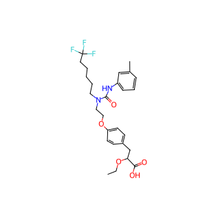 CCOC(Cc1ccc(OCCN(CCCCCC(F)(F)F)C(=O)Nc2cccc(C)c2)cc1)C(=O)O